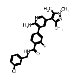 Cc1nn(C)c(C)c1-c1cnc(N)c(-c2ccc(C(=O)NCc3cccc(Cl)c3)c(F)c2)c1